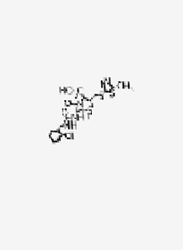 Cc1nnc(SCC2=C(C(=O)O)N3C(=O)C(NC(=O)NCc4ccccc4Cl)[C@@H]3SC2)s1